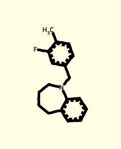 Cc1ccc(CN2CCCCc3ccccc32)cc1F